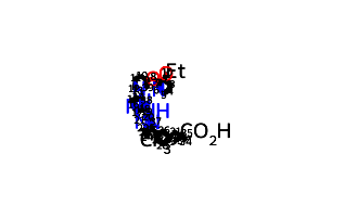 CCOc1cccnc1OC1CCCN(c2cncc(Nc3ncc(C(F)(F)F)c(-c4cccc(CC(C)(C)C(=O)O)c4)n3)n2)C1